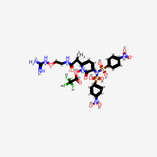 CC(C(=O)NCCONC(=N)N)c1ccc(N(S(=O)(=O)c2ccc([N+](=O)[O-])cc2)S(=O)(=O)c2ccc([N+](=O)[O-])cc2)c(=O)n1OC(=O)C(F)(F)F